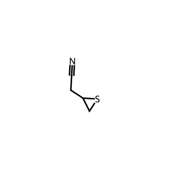 N#CCC1CS1